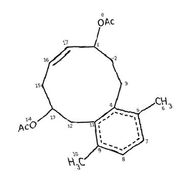 CC(=O)OC1[C]Cc2c(C)ccc(C)c2CC(OC(C)=O)C/C=C\1